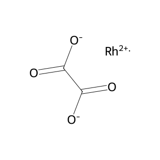 O=C([O-])C(=O)[O-].[Rh+2]